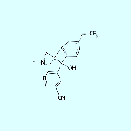 CN1CC(C)(C(O)(c2ccc(CC(F)(F)F)cc2)c2cncc(C#N)c2)C1